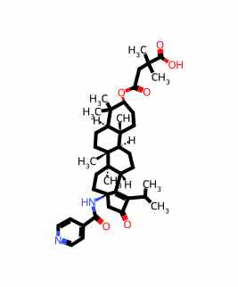 CC(C)C1=C2[C@H]3CC[C@@H]4[C@@]5(C)CC[C@H](OC(=O)CC(C)(C)C(=O)O)C(C)(C)[C@@H]5CC[C@@]4(C)[C@]3(C)CC[C@@]2(NC(=O)c2ccncc2)CC1=O